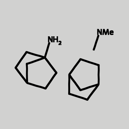 C1CC2CCC1C2.CNC.NC12CCC(CC1)C2